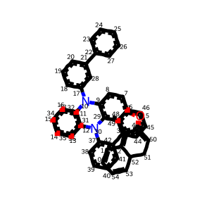 C1=CC2=c3c(oc4ccc(N(c5ccccc5)c5cccc(-c6ccccc6)c5)c(N(c5ccccc5)c5ccccc5-c5ccccc5)c34)=CCC2C=C1